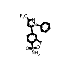 NS(=O)(=O)c1ccc(-c2cc(C(F)(F)F)nn2-c2ccccc2)cc1F